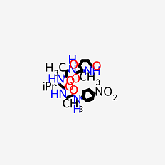 CC(C)[C@H](NC(=O)[C@H](C)NC(=O)[C@]1(C)NC(=O)CCC1=O)C(=O)N[C@@H](C)C(=O)Nc1ccc([N+](=O)[O-])cc1